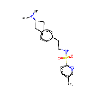 CCCN(CCC)[C@@H]1Cc2ccc(CCNS(=O)(=O)c3ccc(C(F)(F)F)cn3)cc2C1